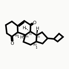 C[C@]12CC[C@@H]3[C@@H](C(=O)C=C4CCCC(=O)[C@@]43C)[C@@H]1CC(C1CCC1)C2